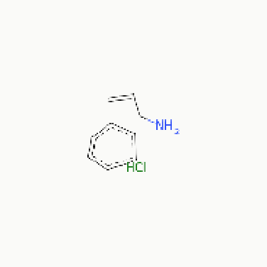 C=CCN.Cl.c1ccccc1